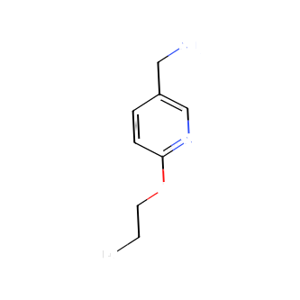 CC(C)(C)CCOc1ccc(CN)cn1